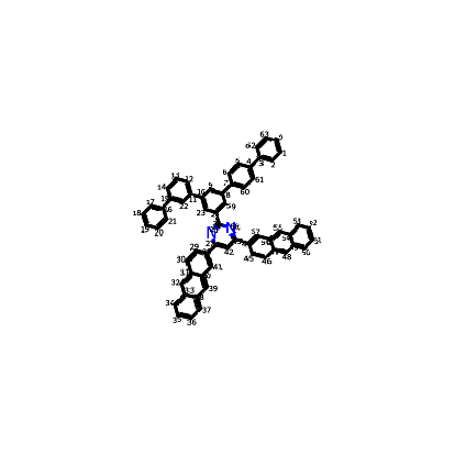 c1ccc(-c2ccc(-c3cc(-c4cccc(-c5ccccc5)c4)cc(-c4nc(-c5ccc6cc7ccccc7cc6c5)cc(-c5ccc6cc7ccccc7cc6c5)n4)c3)cc2)cc1